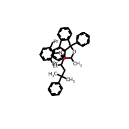 CCC(CC(C)(C)c1ccccc1)C(=Nc1c(C(C)C)cccc1C(C)C)C(C)OC1(c2ccccc2)c2ccccc2-c2ccccc21